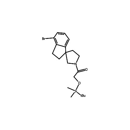 CC(C)(C)[Si](C)(C)OCC(=O)N1CCC2(CCc3c(Br)cccc32)C1